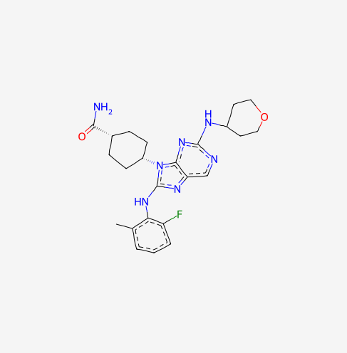 Cc1cccc(F)c1Nc1nc2cnc(NC3CCOCC3)nc2n1[C@H]1CC[C@@H](C(N)=O)CC1